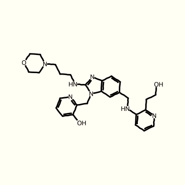 OCCc1ncccc1NCc1ccc2nc(NCCCN3CCOCC3)n(Cc3ncccc3O)c2c1